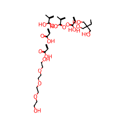 C=C(C)C(=O)O.C=C(C)C(=O)O.C=CC(=O)O.C=CC(=O)O.C=CC(=O)O.CCC(CO)(CO)CO.OCCOCCOCCOCCO